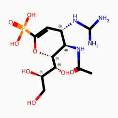 CC(=O)N[C@H]1[C@H]([C@H](O)[C@H](O)CO)OC(P(=O)(O)O)=C[C@@H]1NC(N)N